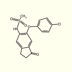 CS(=O)(=O)Nc1cc2c(cc1Oc1ccc(Cl)cc1)C(=O)CC2